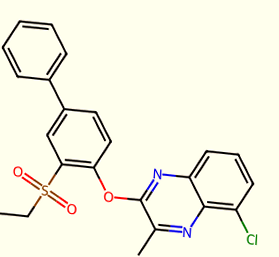 CCS(=O)(=O)c1cc(-c2ccccc2)ccc1Oc1nc2cccc(Cl)c2nc1C